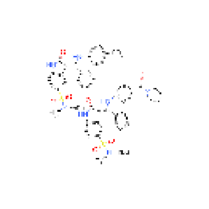 CCCCN(C)S(=O)(=O)c1ccc2c(c1)/C(=C(/Nc1ccc(C(=O)N3CCCC3)cc1)c1ccccc1)C(=O)N2.CCCCN(C)S(=O)(=O)c1ccc2c(c1)/C(=C(/Nc1ccc(C(=O)O)cc1)c1ccccc1)C(=O)N2